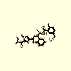 Cc1ccc(CN)cc1C(=O)N[C@H](C)c1cc(-c2cc(C(=O)N(C)C)n(C)c2)nc2ccccc12